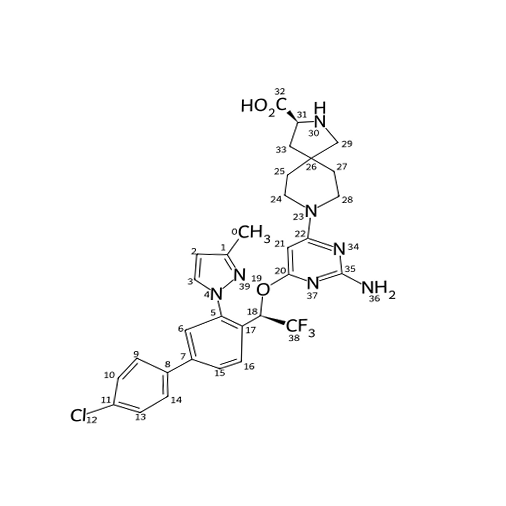 Cc1ccn(-c2cc(-c3ccc(Cl)cc3)ccc2[C@@H](Oc2cc(N3CCC4(CC3)CN[C@H](C(=O)O)C4)nc(N)n2)C(F)(F)F)n1